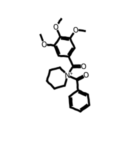 COc1cc(C(=O)[N+]2(C(=O)c3ccccc3)CCCCC2)cc(OC)c1OC